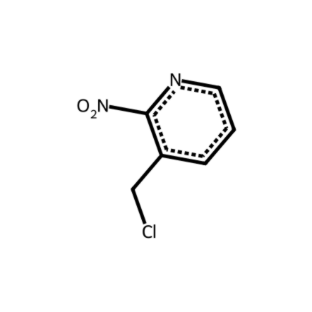 O=[N+]([O-])c1ncccc1CCl